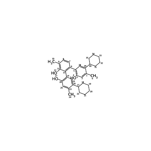 Cc1cc(O)c(-c2ccc(C)c(O)c2-c2cc(C3CCCCC3)c(C)cc2O)cc1C1CCCCC1